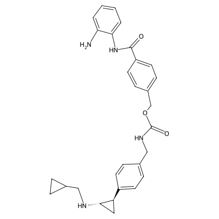 Nc1ccccc1NC(=O)c1ccc(COC(=O)NCc2ccc([C@H]3C[C@@H]3NCC3CC3)cc2)cc1